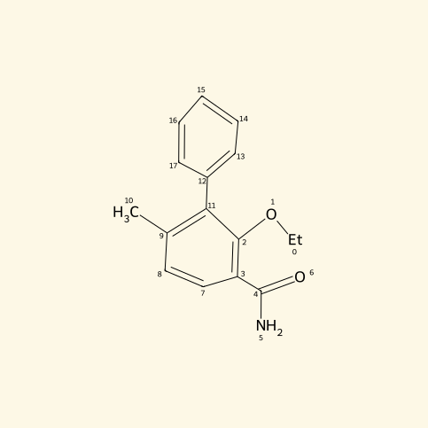 CCOc1c(C(N)=O)ccc(C)c1-c1ccccc1